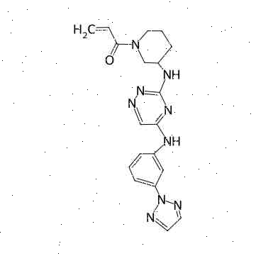 C=CC(=O)N1CCCC(Nc2nncc(Nc3cccc(-n4nccn4)c3)n2)C1